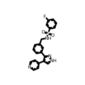 O=S(=O)(NCc1cccc(-c2n[nH]cc2-c2ccncc2)c1)c1cccc(F)c1